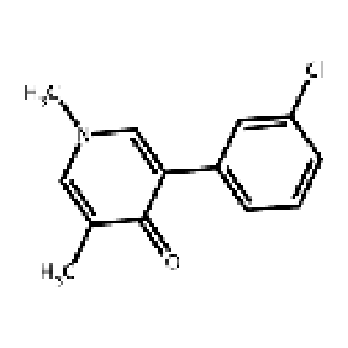 Cc1cn(C)cc(-c2cccc(Cl)c2)c1=O